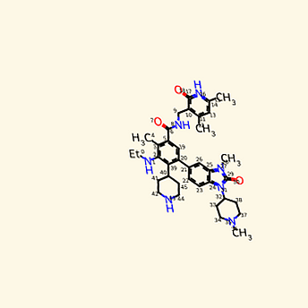 CCNc1c(C)c(C(=O)NCc2c(C)cc(C)[nH]c2=O)cc(-c2ccc3c(c2)n(C)c(=O)n3C2CCN(C)CC2)c1C1CCNCC1